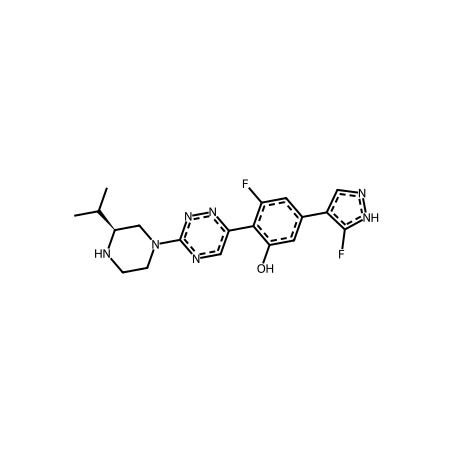 CC(C)[C@H]1CN(c2ncc(-c3c(O)cc(-c4cn[nH]c4F)cc3F)nn2)CCN1